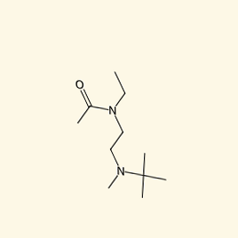 CCN(CCN(C)C(C)(C)C)C(C)=O